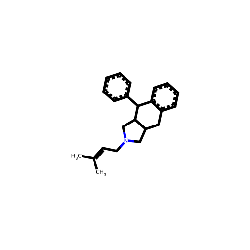 CC(C)=CCN1CC2Cc3ccccc3C(c3ccccc3)C2C1